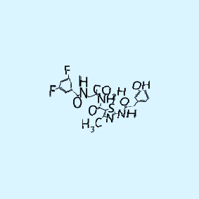 Cc1nc(NC(=O)Cc2cccc(O)c2)sc1C(=O)NC(CNC(=O)c1cc(F)cc(F)c1)C(=O)O